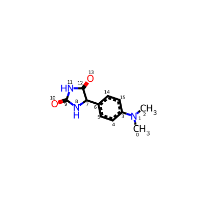 CN(C)c1ccc(C2NC(=O)NC2=O)cc1